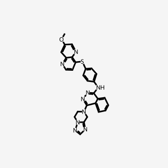 COc1cnc2c(Sc3ccc(Nc4nnc(N5CCn6ncnc6C5)c5ccccc45)cc3)ccnc2c1